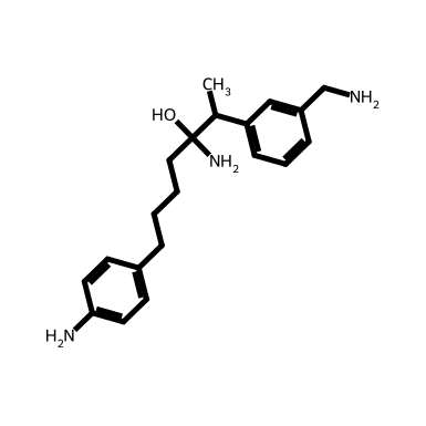 CC(c1cccc(CN)c1)C(N)(O)CCCCc1ccc(N)cc1